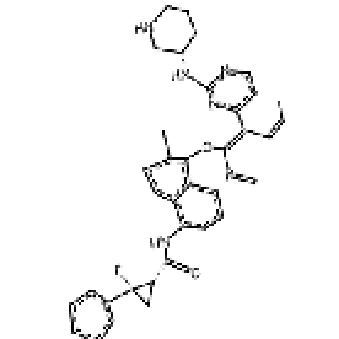 C=N/C(Oc1c(C)ccc2c(NC(=O)[C@@H]3C[C@@]3(F)c3ccccc3)cccc12)=C(\C=C/C)c1ccnc(N[C@H]2CCCNC2)n1